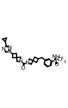 N=S(=O)(c1cccc(CC2CC3(C2)CN(C(=O)N2CC4(CC(n5cnc(C6CC6)n5)C4)C2)C3)c1)C(F)(F)F